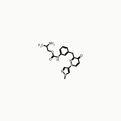 Cn1cc(-n2ccc(=O)c(Cc3cccc(NC(=O)OCC(N)C(F)(F)F)c3)n2)cn1